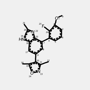 COc1cccc(-c2cc(-c3c(C)noc3C)cc3[nH]c(C)nc23)c1F